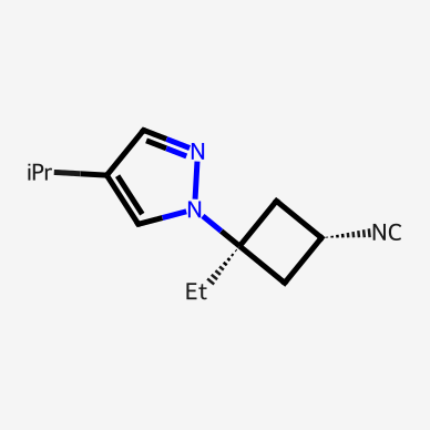 [C-]#[N+][C@H]1C[C@](CC)(n2cc(C(C)C)cn2)C1